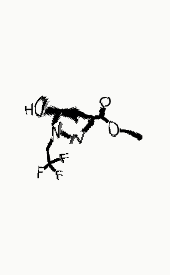 CCOC(=O)c1cc(O)n(CC(F)(F)F)n1